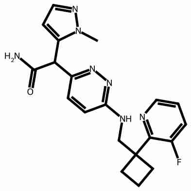 Cn1nccc1C(C(N)=O)c1ccc(NCC2(c3ncccc3F)CCC2)nn1